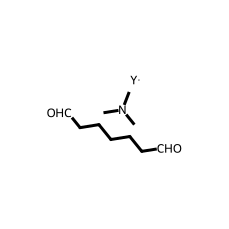 CN(C)C.O=CCCCCCC=O.[Y]